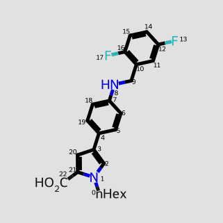 CCCCCCn1cc(-c2ccc(NCc3cc(F)ccc3F)cc2)cc1C(=O)O